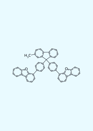 Cc1ccc2c(c1)C(c1ccc(-c3cccc4c3oc3ccccc34)cc1)(c1ccc(-c3cccc4c3oc3ccccc34)cc1)c1ccccc1-2